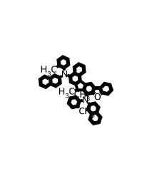 Cc1ccccc1N(c1ccc2ccccc2c1)c1cc2c(c3ccccc13)-c1cc3c(oc4ccccc43)c(N(c3ccc4ccccc4c3)c3ccccc3C)c1C2(C)C